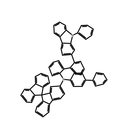 c1ccc(-c2ccc(N(c3ccc4c(c3)C3(c5ccccc5-c5ccccc53)c3ccccc3-4)c3ccccc3-c3ccccc3-c3ccc4c5ccccc5n(-c5ccccc5)c4c3)cc2)cc1